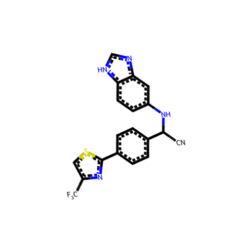 N#CC(Nc1ccc2[nH]cnc2c1)c1ccc(-c2nc(C(F)(F)F)cs2)cc1